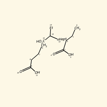 CCCC(=O)O.CCCC(=O)O.CCCCCCCC(CC)C(=O)O